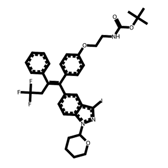 CC(C)(C)OC(=O)NCCOc1ccc(/C(=C(/CC(F)(F)F)c2ccccc2)c2ccc3c(c2)c(I)nn3C2CCCCO2)cc1